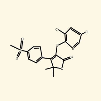 CC1(C)OC(=O)C(Oc2ncc(Cl)cc2Cl)=C1c1ccc(S(C)(=O)=O)cc1